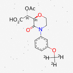 [2H]C([2H])([2H])Oc1cccc(N2CCO[C@H]([C@@H](OC(C)=O)C(=O)O)C2=O)c1